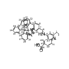 CCc1cc(NCc2ccc(-c3ccccc3C3(C(c4ccccc4)(c4ccccc4)c4ccccc4)N=NN=N3)cc2)c2cc(C(=O)O)ccc2n1